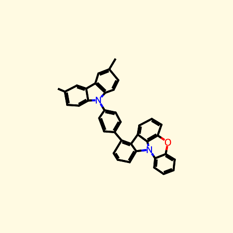 Cc1ccc2c(c1)c1cc(C)ccc1n2-c1ccc(-c2cccc3c2c2cccc4c2n3-c2ccccc2O4)cc1